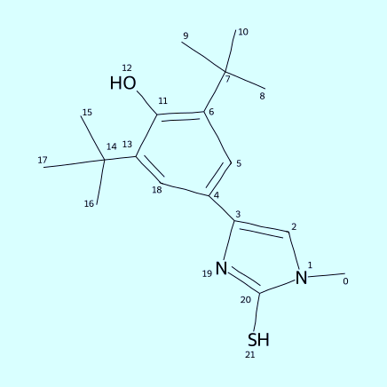 Cn1cc(-c2cc(C(C)(C)C)c(O)c(C(C)(C)C)c2)nc1S